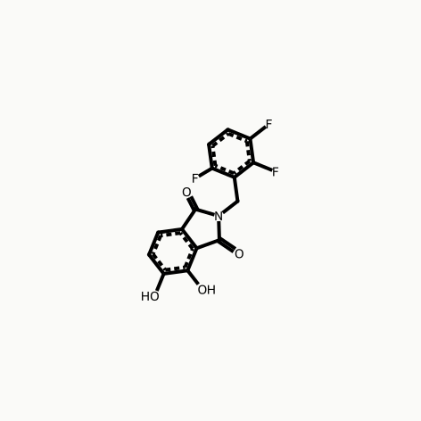 O=C1c2ccc(O)c(O)c2C(=O)N1Cc1c(F)ccc(F)c1F